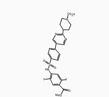 COC(=O)c1cc(F)c(NS(=O)(=O)c2ccc(-c3cnc(C4CCN(C(=O)O)CC4)nc3)cc2)cc1F